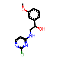 COc1cccc(C(O)CNc2ccnc(Cl)n2)c1